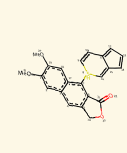 COc1cc2cc3c(c([SH]4C=CC5=CC=CC5=C4)c2cc1OC)C(=O)OC3